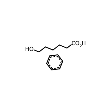 O=C(O)CCCCCO.c1ccccc1